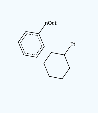 [CH2]CC1CCCCC1.[CH2]CCCCCCCc1ccccc1